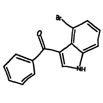 O=C(c1ccccc1)c1c[nH]c2cccc(Br)c12